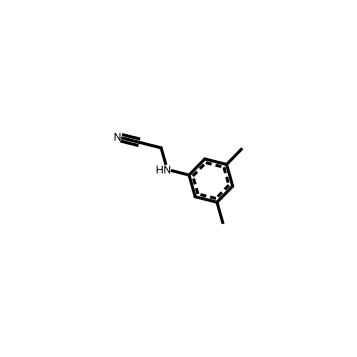 Cc1cc(C)cc(NCC#N)c1